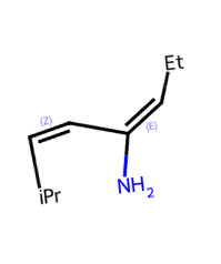 CC/C=C(N)\C=C/C(C)C